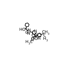 CC(C)c1ccc([C@](O)(c2cncc(-c3noc([C@H](O)C4CCCCC4)n3)c2)C2(C)CN(C)C2)cc1